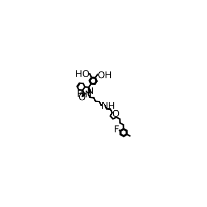 Cc1ccc(F)c(CCCC2CCC(CCNCCCCCN3N=C(c4ccc(CO)c(CO)c4)C4CC=CC[C@H]4C3=O)O2)c1